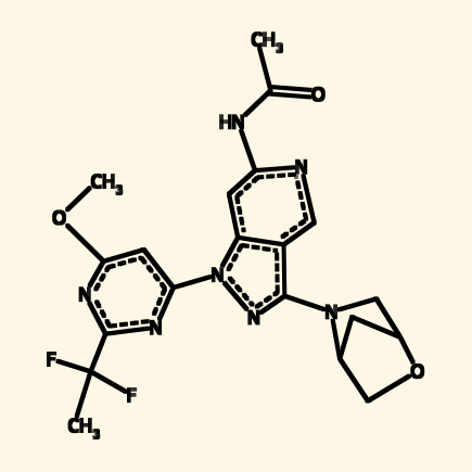 COc1cc(-n2nc(N3CC4CC3CO4)c3cnc(NC(C)=O)cc32)nc(C(C)(F)F)n1